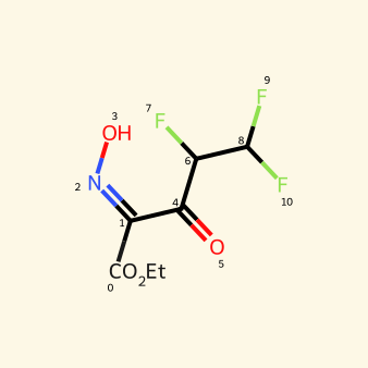 CCOC(=O)C(=NO)C(=O)C(F)C(F)F